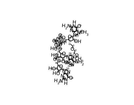 COCCOCC[C@@H]1[C@@H](COP(=O)(O)OP(=O)(O)OP(=O)(O)OC[C@H]2O[C@@H](n3cnc4c(N)ncnc43)[C@H](OC)[C@@H]2P(=O)(O)OC[C@H]2O[C@@H](n3cnc4c(=O)[nH]c(N)nc43)[C@H](O)[C@@H]2O)OC(n2c[n+](C)c3c(=O)[nH]c(N)nc32)[C@@H]1O